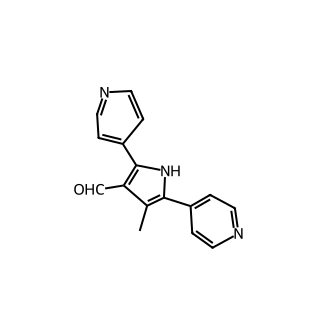 Cc1c(-c2ccncc2)[nH]c(-c2ccncc2)c1C=O